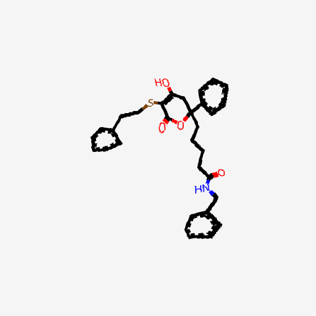 O=C(CCCCC1(c2ccccc2)CC(O)=C(SCCc2ccccc2)C(=O)O1)NCc1ccccc1